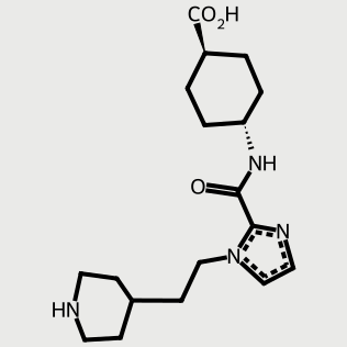 O=C(N[C@H]1CC[C@H](C(=O)O)CC1)c1nccn1CCC1CCNCC1